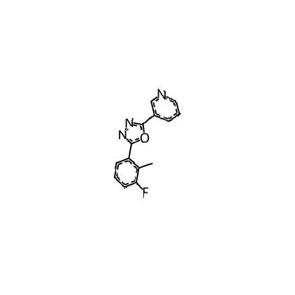 Cc1c(F)cccc1-c1nnc(-c2cccnc2)o1